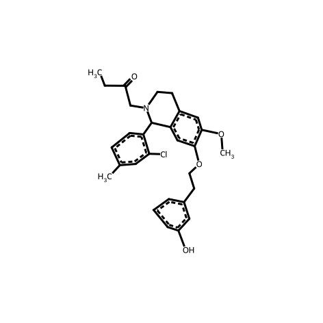 CCC(=O)CN1CCc2cc(OC)c(OCCc3cccc(O)c3)cc2C1c1ccc(C)cc1Cl